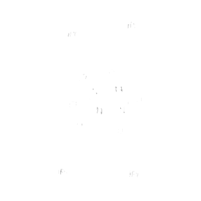 CC(C)C1CCC(OCN2C(=O)N(COC3CCC(C(C)C)CC3)C3C2N(COC2CCC(C(C)C)CC2)C(=O)N3COC2CCC(C(C)C)CC2)CC1